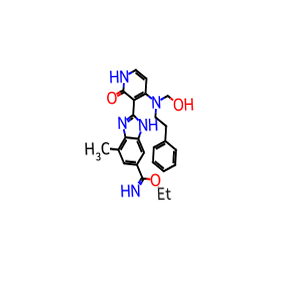 CCOC(=N)c1cc(C)c2nc(-c3c(N(CO)CCc4ccccc4)cc[nH]c3=O)[nH]c2c1